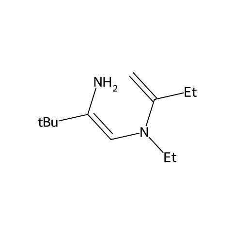 C=C(CC)N(/C=C(\N)C(C)(C)C)CC